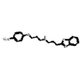 O=C(O)c1ccc(OCCCNCCCc2nc3ccccc3o2)cc1